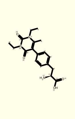 CCn1c(C)c(-c2ccc(C[C@H](N)C(=O)O)cc2)c(=O)n(CC)c1=O